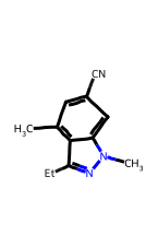 CCc1nn(C)c2cc(C#N)cc(C)c12